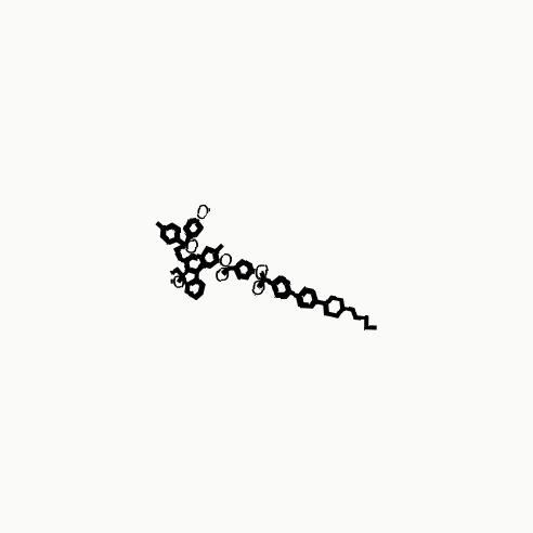 CCCCCC1CCC(c2ccc(-c3ccc(C(=O)Oc4ccc(C(=O)Oc5cc6c7c(c8c(c6cc5C)OC(c5ccc(C)cc5)(c5ccc(OC)cc5)C=C8)C(CC)(OC)c5ccccc5-7)cc4)cc3)cc2)CC1